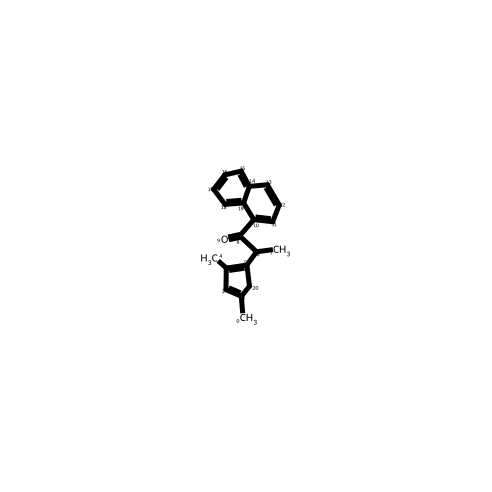 CC1=CC(C)=C(C(C)C(=O)c2cccc3ccccc23)C1